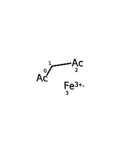 CC(=O)CC(C)=O.[Fe+3]